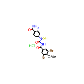 COc1c(Br)cc(C(=O)NC(=O)N(S)c2ccc(C(N)=O)cc2)cc1Br.Cl